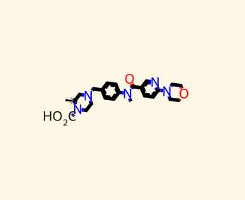 C[C@H]1CN(Cc2ccc(N(C)C(=O)c3ccc(N4CCOCC4)nc3)cc2)CCN1C(=O)O